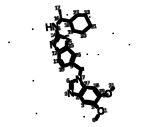 COc1cc2ncn(Cc3ccc4nc(N[C@@H](C)C5CCCCC5)sc4c3)c2cc1OC